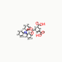 O=C(O)c1cc(C(=O)O)cc(C(=O)O)c1.c1ccc(N(c2ccccc2)c2ccccc2)cc1